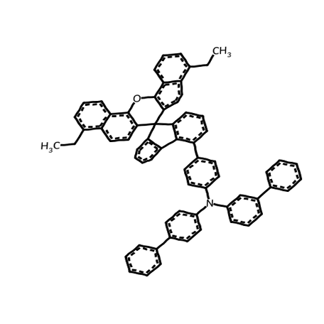 CCc1cccc2c3c(ccc12)C1(c2ccccc2-c2c(-c4ccc(N(c5ccc(-c6ccccc6)cc5)c5cccc(-c6ccccc6)c5)cc4)cccc21)c1ccc2c(CC)cccc2c1O3